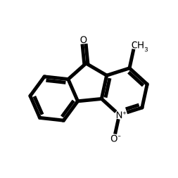 Cc1cc[n+]([O-])c2c1C(=O)c1ccccc1-2